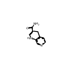 NC(=O)C1=CNc2cnccc2C1